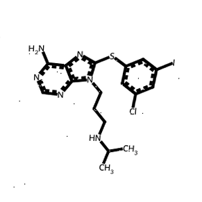 CC(C)NCCCn1c(Sc2cc(Cl)cc(I)c2)nc2c(N)ncnc21